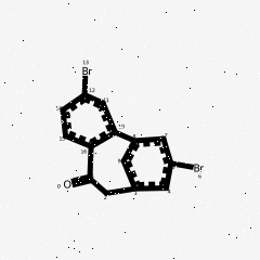 O=C1Cc2cc(Br)cc(c2)-c2cc(Br)ccc21